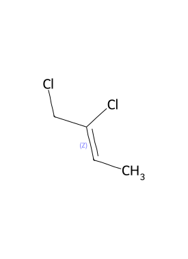 C/C=C(\Cl)CCl